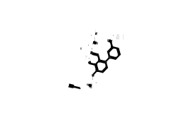 C#CCOC(=O)NCc1ccc(-c2cccc(C(N)=O)c2)c2cc(NC(=O)NCC)ncc12.Cl